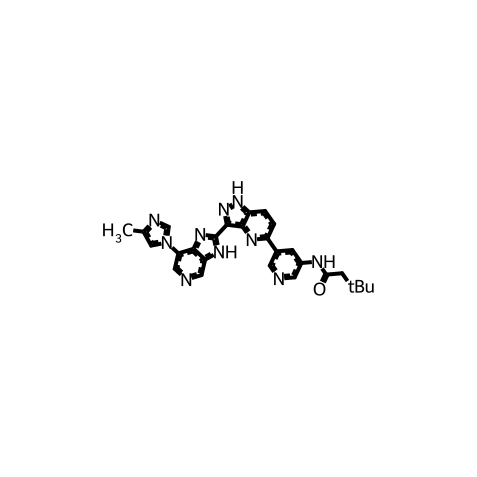 Cc1cn(-c2cncc3[nH]c(-c4n[nH]c5ccc(-c6cncc(NC(=O)CC(C)(C)C)c6)nc45)nc23)cn1